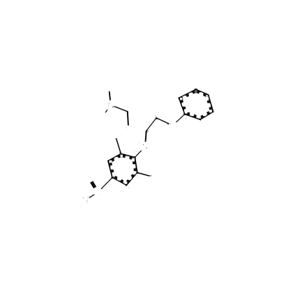 CN(C)CC[C@H](CSc1ccccc1)Nc1c(F)cc(S(N)(=O)=O)cc1F